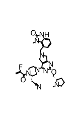 C=C(F)C(=O)N1CCN(c2nc(OC[C@@H]3CCCN3C)nc3c2CN(Cc2cccc4[nH]c(=O)n(C)c24)C3)C[C@@H]1CC#N